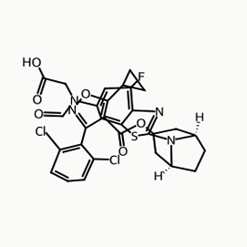 O=CN(CC(=O)O)c1cc(F)c2nc(N3[C@@H]4CC[C@H]3CC(OC(=O)c3c(-c5c(Cl)cccc5Cl)noc3C3CC3)C4)sc2c1